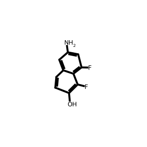 Nc1cc(F)c2c(F)c(O)ccc2c1